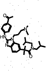 CC(=O)c1ccc(Nc2nc3ccc(C(C)(C)C(=O)N(CC(C)C)CC(C)C)cc3n2CCCN(C)C)cc1